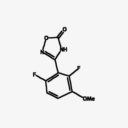 COc1ccc(F)c(-c2noc(=O)[nH]2)c1F